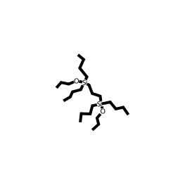 CCCC[Si](CCCC)(CCC[Si](CCCC)(CCCC)OCCC)OCCC